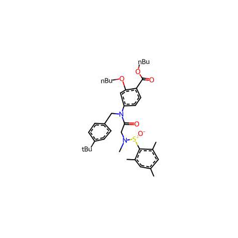 CCCCOC(=O)c1ccc(N(Cc2ccc(C(C)(C)C)cc2)C(=O)CN(C)[S+]([O-])c2c(C)cc(C)cc2C)cc1OCCCC